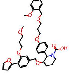 COCCCOc1cc(COC2CCCN(C(=O)O)C2c2ccc(OCCCOCc3ccccc3OC)cc2)ccc1-c1ccco1